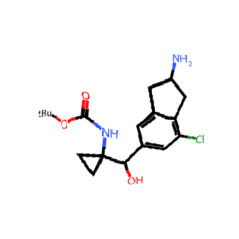 CC(C)(C)OC(=O)NC1(C(O)c2cc(Cl)c3c(c2)CC(N)C3)CC1